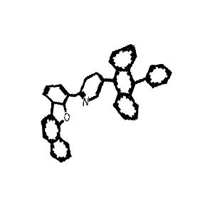 C1=CC2c3ccc4ccccc4c3OC2C(C2=NC=C(c3c4ccccc4c(-c4ccccc4)c4ccccc34)CC2)=C1